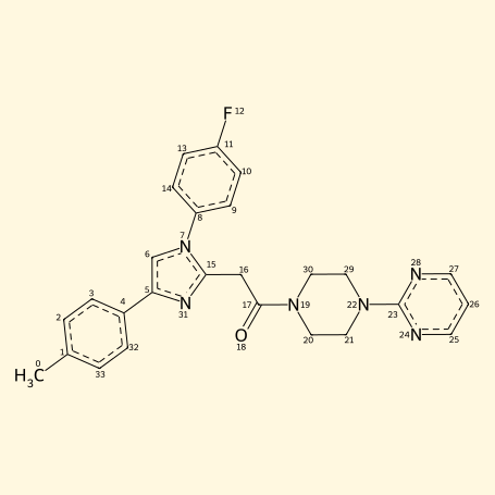 Cc1ccc(-c2cn(-c3ccc(F)cc3)c(CC(=O)N3CCN(c4ncccn4)CC3)n2)cc1